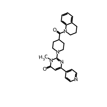 Cn1c(N2CCC(C(=O)N3CCCc4ccccc43)CC2)nc(-c2ccncc2)cc1=O